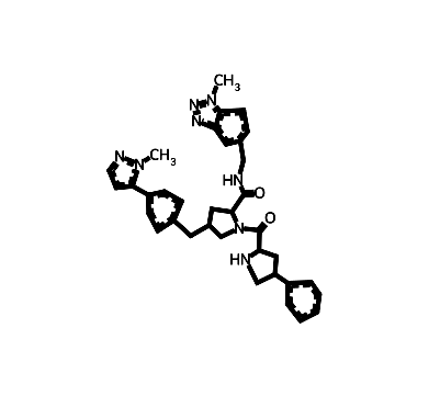 Cn1nccc1-c1ccc(CC2CC(C(=O)NCc3ccc4c(c3)nnn4C)N(C(=O)C3CC(c4ccccc4)CN3)C2)cc1